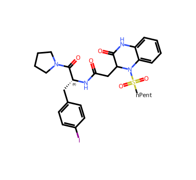 CCCCCS(=O)(=O)N1c2ccccc2NC(=O)C1CC(=O)N[C@H](Cc1ccc(I)cc1)C(=O)N1CCCC1